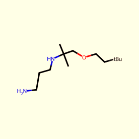 CC(C)(C)CCOCC(C)(C)NCCCN